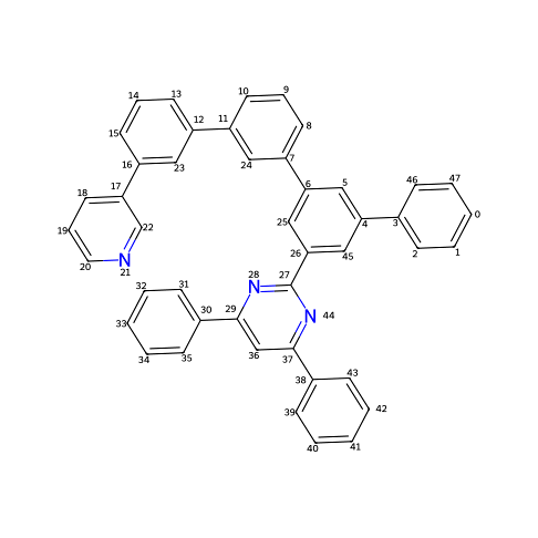 c1ccc(-c2cc(-c3cccc(-c4cccc(-c5cccnc5)c4)c3)cc(-c3nc(-c4ccccc4)cc(-c4ccccc4)n3)c2)cc1